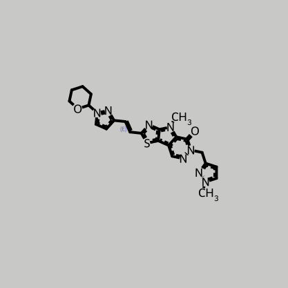 Cn1ccc(Cn2ncc3c4sc(/C=C/c5ccn(C6CCCCO6)n5)nc4n(C)c3c2=O)n1